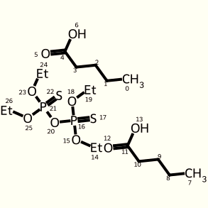 CCCCC(=O)O.CCCCC(=O)O.CCOP(=S)(OCC)OP(=S)(OCC)OCC